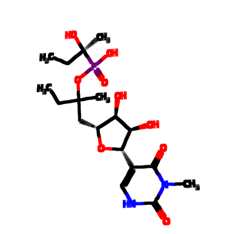 CCC(C)(C[C@H]1O[C@@H](c2c[nH]c(=O)n(C)c2=O)[C@H](O)[C@@H]1O)OP(=O)(O)[C@](C)(O)CC